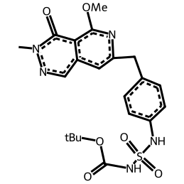 COc1nc(Cc2ccc(NS(=O)(=O)NC(=O)OC(C)(C)C)cc2)cc2cnn(C)c(=O)c12